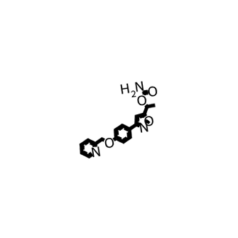 CC(OC(N)=O)c1cc(-c2ccc(OCc3ccccn3)cc2)no1